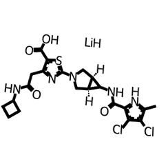 Cc1[nH]c(C(=O)NC2[C@H]3CN(c4nc(CC(=O)NC5CCC5)c(C(=O)O)s4)C[C@@H]23)c(Cl)c1Cl.[LiH]